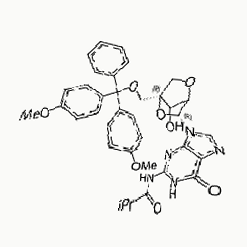 COc1ccc(C(OC[C@]23COC(C2O)[C@H](n2cnc4c(=O)[nH]c(NC(=O)C(C)C)nc42)O3)(c2ccccc2)c2ccc(OC)cc2)cc1